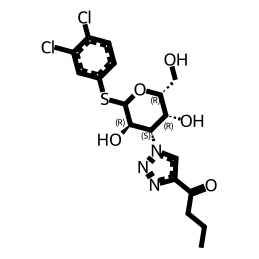 CCCC(=O)c1cn([C@H]2[C@@H](O)[C@@H](CO)OC(Sc3ccc(Cl)c(Cl)c3)[C@@H]2O)nn1